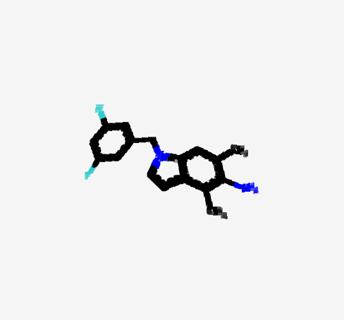 Cc1cc2c(ccn2Cc2cc(F)cc(F)c2)c(C)c1N